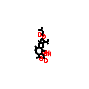 C=C1C2CC3C(C(C)C)C(OC(=O)CC(C)C)CC3(C)CC2/C(C)=C\CC2C(C)OC(=O)C(O)C12O